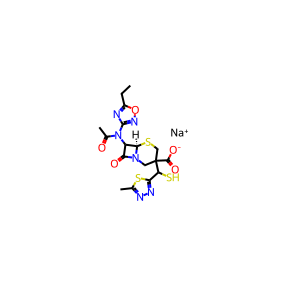 CCc1nc(N(C(C)=O)C2C(=O)N3CC(C(=O)[O-])(C(S)c4nnc(C)s4)CS[C@H]23)no1.[Na+]